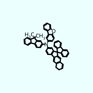 CC1(C)c2ccccc2-c2ccc(N(c3ccc4c(c3)C3(c5ccccc5-c5ccccc53)c3cc5c(cc3-4)CCC=C5)c3ccc4oc5ccccc5c4c3)cc21